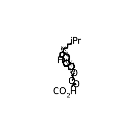 CC(C)CCC[C@@H](C)C1CCC2[C@@H]3CC=C4C[C@@H](OCCOC(=O)CC(=O)O)CC[C@]4(C)C3CC[C@@]21C